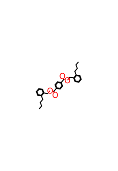 CCCCc1ccccc1COC(=O)c1ccc(C(=O)OCc2ccccc2CCCC)cc1